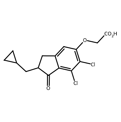 O=C(O)COc1cc2c(c(Cl)c1Cl)C(=O)C(CC1CC1)C2